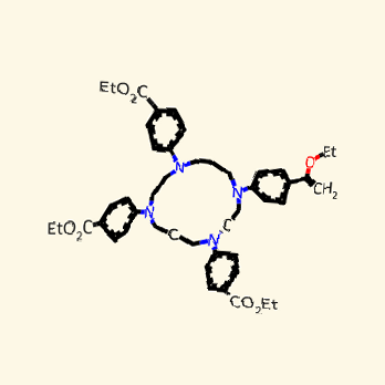 C=C(OCC)c1ccc(N2CCCN(c3ccc(C(=O)OCC)cc3)CCN(c3ccc(C(=O)OCC)cc3)CCCN(c3ccc(C(=O)OCC)cc3)CC2)cc1